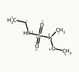 CCNS(=O)(=O)N(C)OC